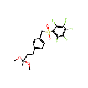 CO[Si](C)(CCc1ccc(CS(=O)(=O)c2c(F)c(F)c(F)c(F)c2F)cc1)OC